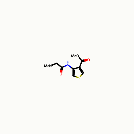 CNCC(=O)Nc1cscc1C(=O)OC